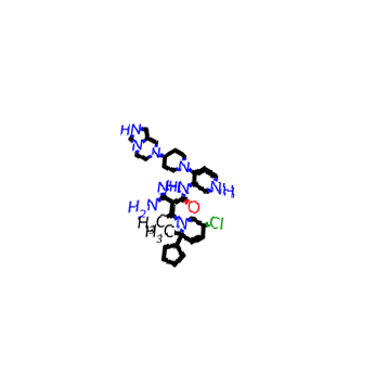 CC(C(C(=N)N)C(=O)NC1CNC=C=C1N1CCC(N2CCN3CNCC3C2)CC1)N1CC(Cl)C=CC1(C)C1CCCC1